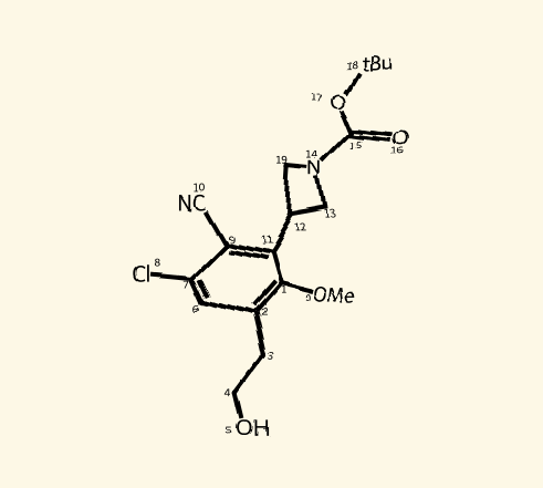 COc1c(CCO)cc(Cl)c(C#N)c1C1CN(C(=O)OC(C)(C)C)C1